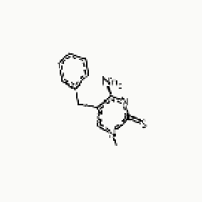 Cn1cc(Cc2ccccc2)c(N)nc1=S